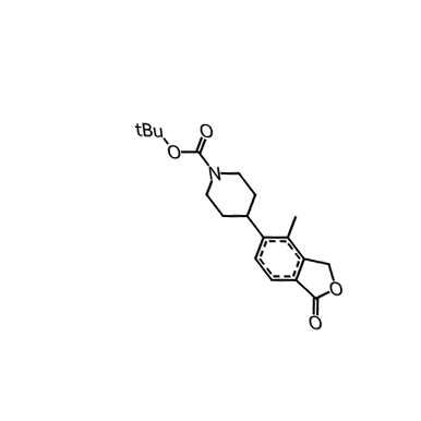 Cc1c(C2CCN(C(=O)OC(C)(C)C)CC2)ccc2c1COC2=O